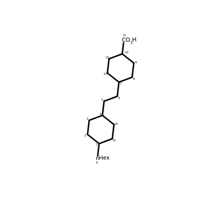 CCCCCCC1CCC(CCC2CCC(C(=O)O)CC2)CC1